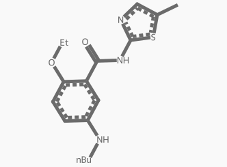 CCCCNc1ccc(OCC)c(C(=O)Nc2ncc(C)s2)c1